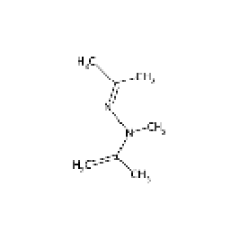 C=C(C)N(C)N=C(C)C